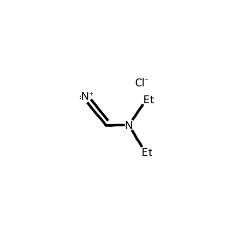 CCN(C=[N+])CC.[Cl-]